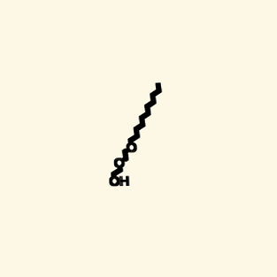 CCCCCCCCCCCOCCOCCO